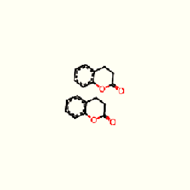 O=C1CCc2ccccc2O1.O=C1CCc2ccccc2O1